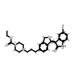 CCOC(=O)N1CCN(CCCc2ccc3c(c2)CO/C3=C2/C(=O)Nc3ccc(F)cc32)CC1